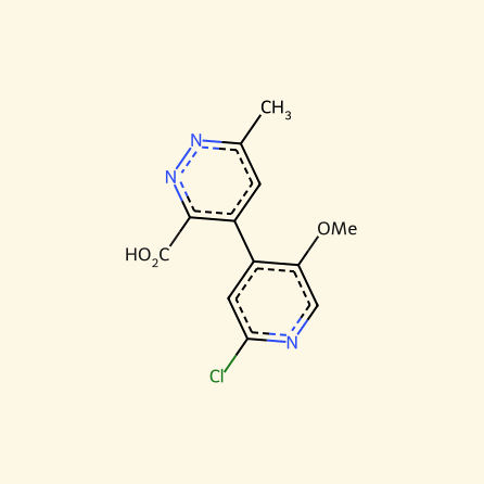 COc1cnc(Cl)cc1-c1cc(C)nnc1C(=O)O